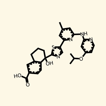 Cc1cc(Nc2cc(OC(C)C)ccn2)nc(-c2cnc(C3(O)CCCc4cc(C(=O)O)ccc43)s2)c1